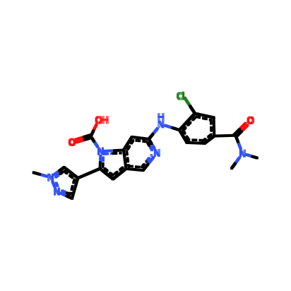 CN(C)C(=O)c1ccc(Nc2cc3c(cn2)cc(-c2cnn(C)c2)n3C(=O)O)c(Cl)c1